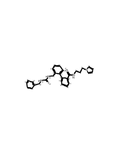 O=C(NCCCn1cccc1)c1ccccc1-c1ccccc1CNC(=S)NCc1ccccc1